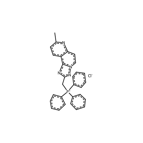 Cc1ccc2c(ccn3nc(C[P+](c4ccccc4)(c4ccccc4)c4ccccc4)nc23)n1.[Cl-]